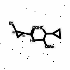 CC[C@@H]1C[C@@H]1C(=O)NC(OC)C(C=O)C1CC1